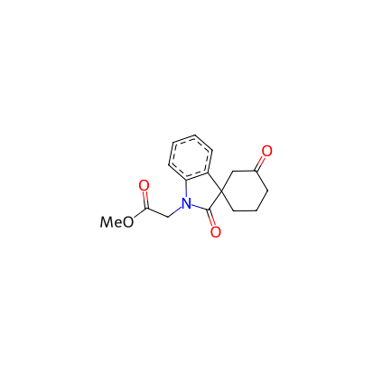 COC(=O)CN1C(=O)C2(CCCC(=O)C2)c2ccccc21